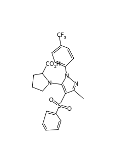 Cc1nn(-c2ccc(C(F)(F)F)cc2)c(N2CCCC2C(=O)O)c1S(=O)(=O)c1ccccc1